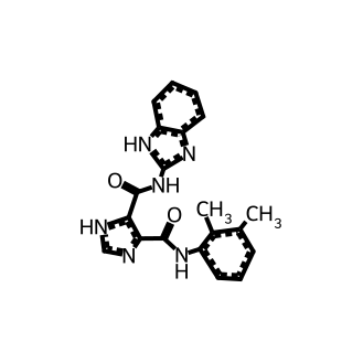 Cc1cccc(NC(=O)c2nc[nH]c2C(=O)Nc2nc3ccccc3[nH]2)c1C